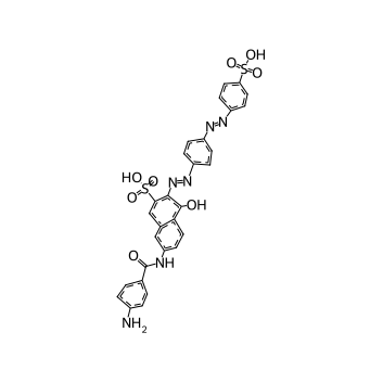 Nc1ccc(C(=O)Nc2ccc3c(O)c(N=Nc4ccc(N=Nc5ccc(S(=O)(=O)O)cc5)cc4)c(S(=O)(=O)O)cc3c2)cc1